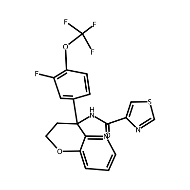 O=C(NC1(c2ccc(OC(F)(F)F)c(F)c2)CCOc2cccnc21)c1cscn1